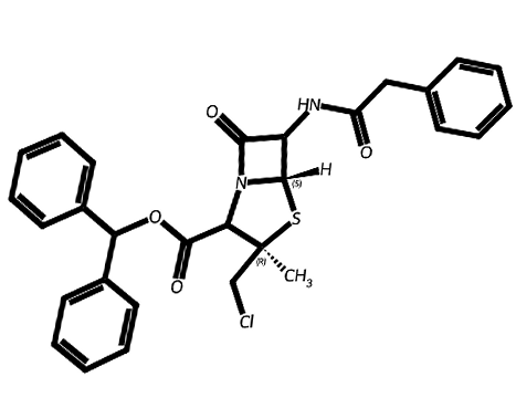 C[C@@]1(CCl)S[C@H]2C(NC(=O)Cc3ccccc3)C(=O)N2C1C(=O)OC(c1ccccc1)c1ccccc1